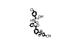 N#CC1CN(S(=O)(=O)c2cccc(C(=O)N3CCC[C@@H]3C(=O)N[C@@H](CO)c3ccc(Cl)cc3)c2)C1